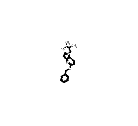 CC(Cn1ccc2nc(OCc3ccccc3)ccc21)N(C)C